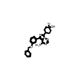 CCC1(O)CCC(c2nc(-c3cccc(OCc4ccccc4)c3)c3c(N)ncnn23)CC1